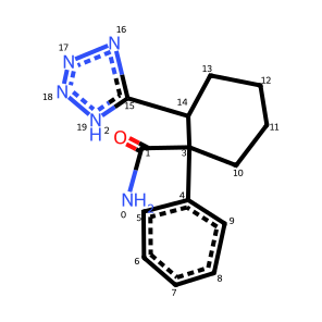 NC(=O)C1(c2ccccc2)CCCCC1c1nnn[nH]1